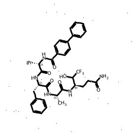 CC(C)[C@H](NC(=O)c1ccc(-c2ccccc2)cc1)C(=O)N[C@@H](Cc1ccccc1)C(=O)N[C@@H](C)C(=O)N[C@H](CCC(N)=O)C(O)C(F)(F)F